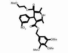 COCCOC(=O)C1=C(C)NC(C)=C(C(=O)OCc2cc(OC)c(OC)c(OC)c2)C1c1cccc([N+](=O)[O-])c1